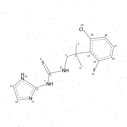 CC(C)(CNC(=S)Nc1ncc[nH]1)c1c(F)cccc1Cl